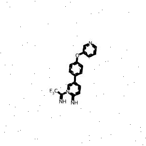 N=C(n1cc(-c2ccc(Oc3cccnc3)cc2)ccc1=N)C(F)(F)F